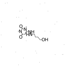 Cn1c(NNCCCCO)cc(=O)n(C)c1=O